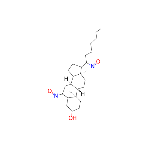 CCCCCCC(N=O)C1CCC2[C@@H]3CC(N=O)C4C[C@@H](O)CC[C@]4(C)[C@H]3CC[C@]12C